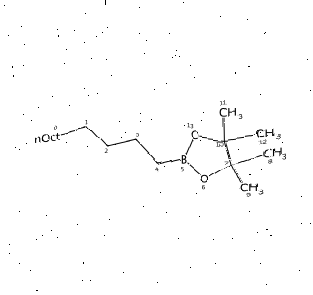 CCCCCCCCCCCCB1OC(C)(C)C(C)(C)O1